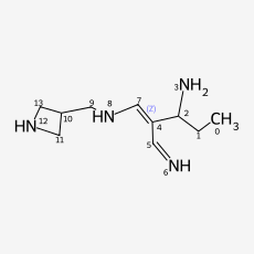 CCC(N)/C(C=N)=C/NCC1CNC1